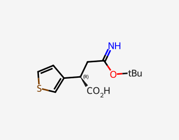 CC(C)(C)OC(=N)C[C@@H](C(=O)O)c1ccsc1